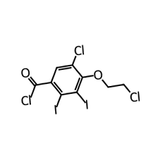 O=C(Cl)c1cc(Cl)c(OCCCl)c(I)c1I